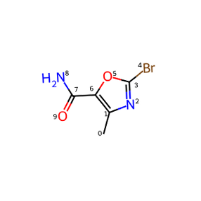 Cc1nc(Br)oc1C(N)=O